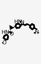 COc1ccc(NC(=O)[C@@H]2C[C@H]2c2ccc3c(/C=C/c4ccc(CN(C)C)cc4)n[nH]c3c2)cc1